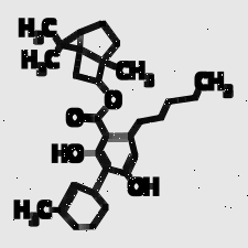 CCCCCc1cc(O)c(C2C=C(C)CCC2)c(O)c1C(=O)OC1CC23C(CCC12C)C3(C)C